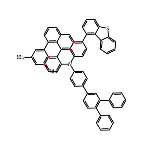 CC(C)(C)c1cc(-c2cccc3cccc(-c4ccccc4N(c4ccc(-c5ccc(-c6ccccc6)c(-c6ccccc6)c5)cc4)c4ccc(-c5cccc6sc7ccccc7c56)cc4)c23)cc(C(C)(C)C)c1